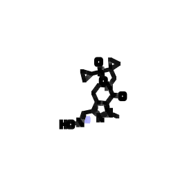 Cn1nc(/C=N/O)c2c1C(=O)N(CC1(S(=O)(=O)C3CC3)CC1)CC2